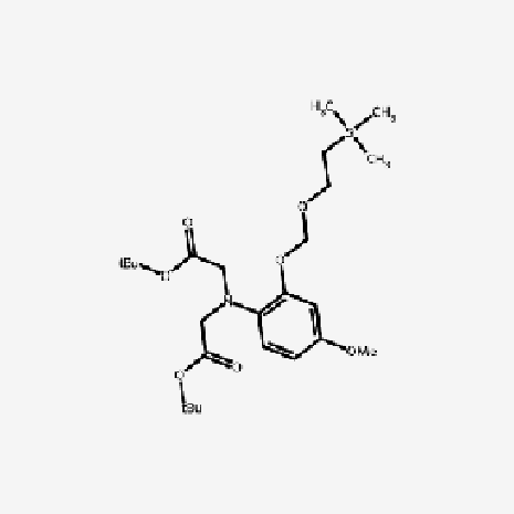 COc1ccc(N(CC(=O)OC(C)(C)C)CC(=O)OC(C)(C)C)c(OCOCC[Si](C)(C)C)c1